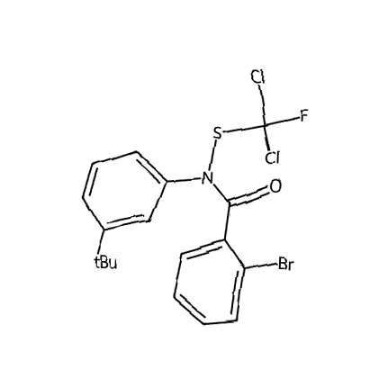 CC(C)(C)c1cccc(N(SC(F)(Cl)Cl)C(=O)c2ccccc2Br)c1